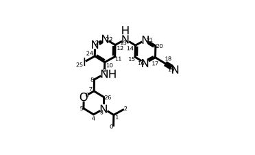 CC(C)N1CCOC(CNc2cc(Nc3cnc(C#N)cn3)nnc2I)C1